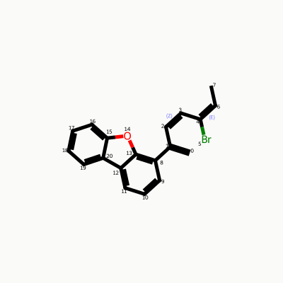 C=C(/C=C\C(Br)=C/C)c1cccc2c1oc1ccccc12